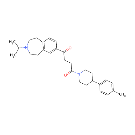 Cc1ccc(C2CCN(C(=O)CCC(=O)c3ccc4c(c3)CCN(C(C)C)CC4)CC2)cc1